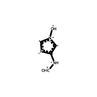 O=CNc1cn(O)cn1